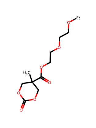 CCOCCOCCOC(=O)C1(C)COC(=O)OC1